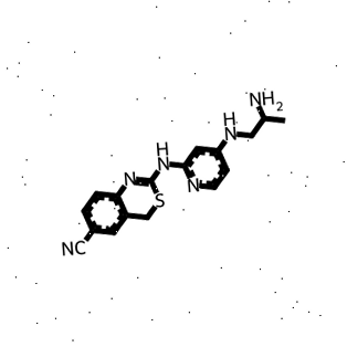 CC(N)CNc1ccnc(NC2=Nc3ccc(C#N)cc3CS2)c1